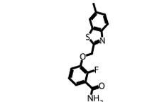 Cc1ccc2nc(COc3cccc(C(N)=O)c3F)sc2c1